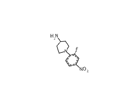 NC1CCN(c2ccc([N+](=O)[O-])cc2F)CC1